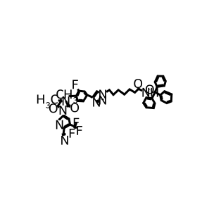 CC1(C)C(=O)N(c2cnc(C#N)c(C(F)(F)F)c2)C(=O)N1Cc1ccc(-c2cn(CCCCCCC(=O)NOC(c3ccccc3)(c3ccccc3)c3ccccc3)nn2)cc1F